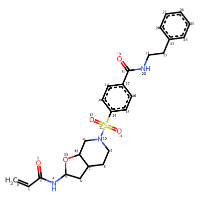 C=CC(=O)NC1CC2CCN(S(=O)(=O)c3ccc(C(=O)NCCc4ccccc4)cc3)CC2O1